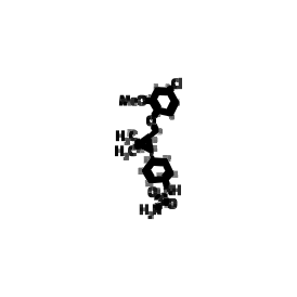 COc1cc(Cl)ccc1OC[C@H]1[C@H](c2ccc(NS(N)(=O)=O)cc2)C1(C)C